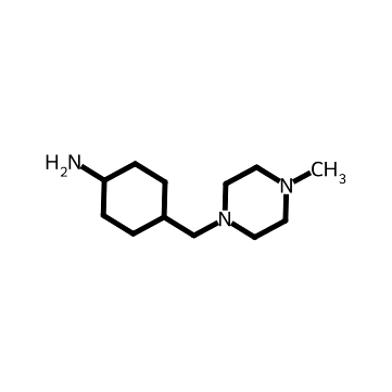 CN1CCN(CC2CCC(N)CC2)CC1